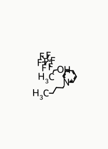 CCCC[n+]1ccccc1.CCO.F[P-](F)(F)(F)(F)F